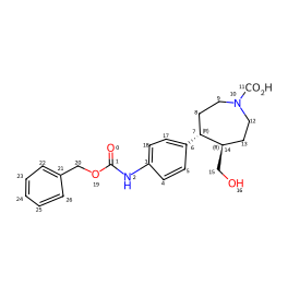 O=C(Nc1ccc([C@@H]2CCN(C(=O)O)CC[C@H]2CO)cc1)OCc1ccccc1